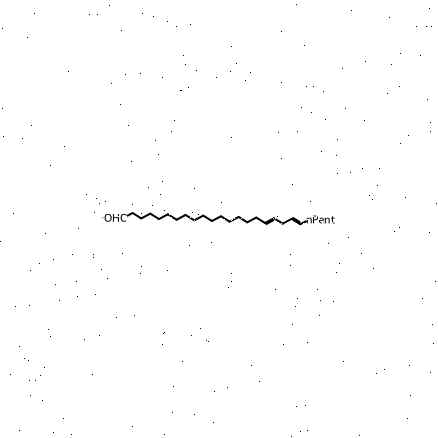 CCCCC/C=C/C/C=C/CCCCCCCCCCCCCCC[C]=O